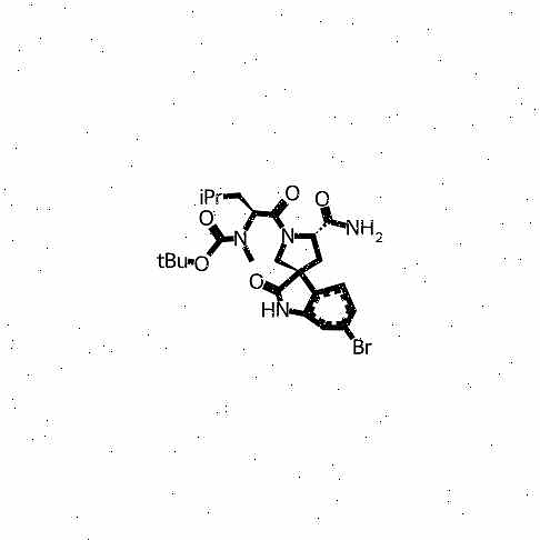 CC(C)C[C@@H](C(=O)N1C[C@]2(C[C@H]1C(N)=O)C(=O)Nc1cc(Br)ccc12)N(C)C(=O)OC(C)(C)C